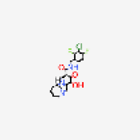 O=C(NCc1ccc(F)c(Cl)c1F)c1cn2c(c(O)c1=O)CN1CC=CC[C@H]2C1